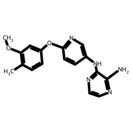 COc1cc(Oc2ccc(Nc3nccnc3N)cn2)ccc1C